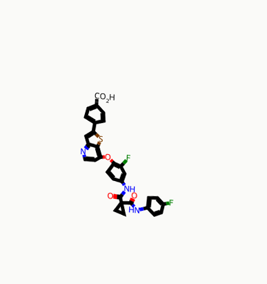 O=C(O)c1ccc(-c2cc3nccc(Oc4ccc(NC(=O)C5(C(=O)Nc6ccc(F)cc6)CC5)cc4F)c3s2)cc1